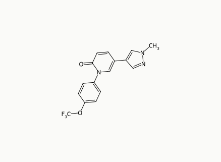 Cn1cc(-c2ccc(=O)n(-c3ccc(OC(F)(F)F)cc3)c2)cn1